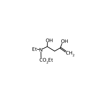 C=C(O)CC(O)N(CC)C(=O)OCC